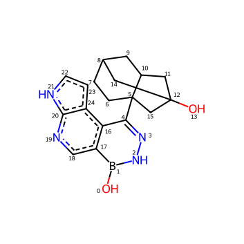 OB1NN=C(C23CCC4CC2CC(O)(C4)C3)c2c1cnc1[nH]ccc21